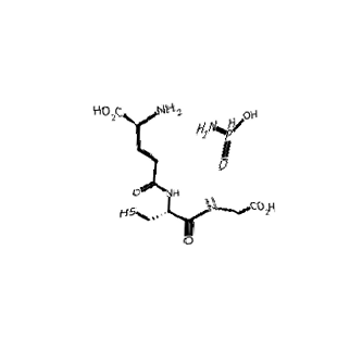 N[C@@H](CCC(=O)N[C@@H](CS)C(=O)NCC(=O)O)C(=O)O.N[PH](=O)O